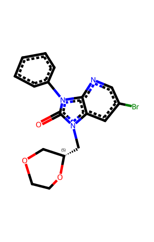 O=c1n(C[C@H]2COCCO2)c2cc(Br)cnc2n1-c1ccccc1